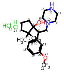 CC1(C)CCCC1(O)C(CN1CCNCC1)c1cccc(OC(F)(F)F)c1.Cl.Cl